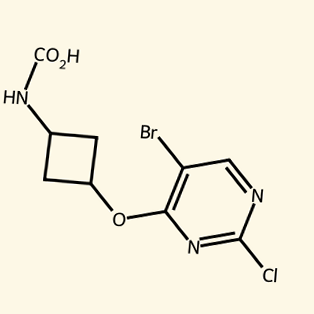 O=C(O)NC1CC(Oc2nc(Cl)ncc2Br)C1